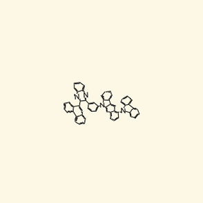 c1cc(-c2nc3ccccc3nc2-c2cc3ccccc3c3ccccc23)cc(-n2c3ccccc3c3cc4c(-n5c6ccccc6c6ccccc65)cccc4cc32)c1